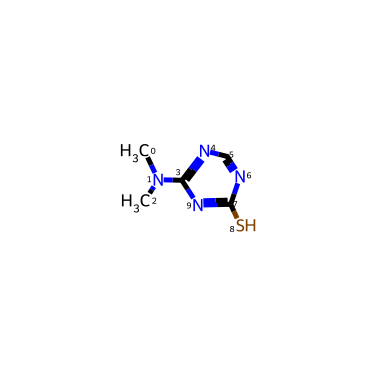 CN(C)c1ncnc(S)n1